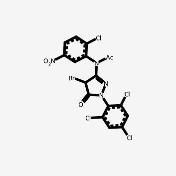 CC(=O)N(C1=NN(c2c(Cl)cc(Cl)cc2Cl)C(=O)C1Br)c1cc([N+](=O)[O-])ccc1Cl